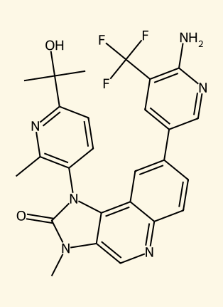 Cc1nc(C(C)(C)O)ccc1-n1c(=O)n(C)c2cnc3ccc(-c4cnc(N)c(C(F)(F)F)c4)cc3c21